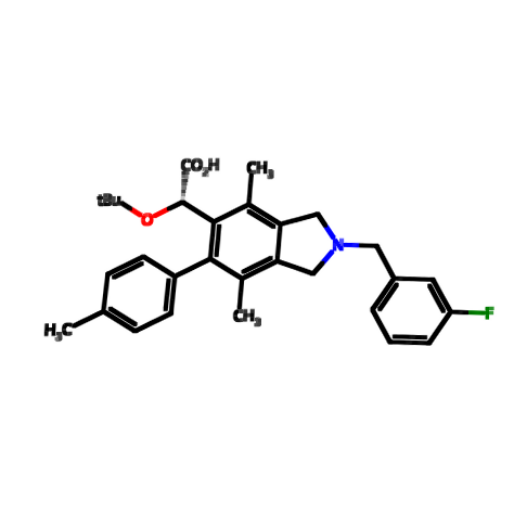 Cc1ccc(-c2c(C)c3c(c(C)c2[C@H](OC(C)(C)C)C(=O)O)CN(Cc2cccc(F)c2)C3)cc1